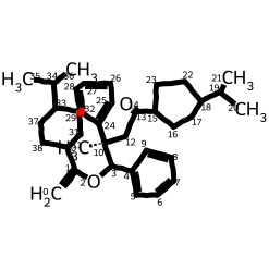 C=C(OC(c1ccccc1)[C@](C)(CC(=O)C1CCC(C(C)C)CC1)c1ccccc1)C1CCC(C(C)C)CC1